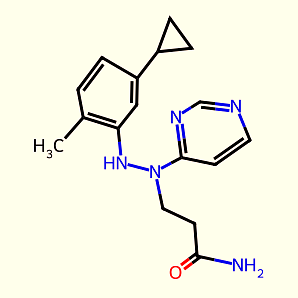 Cc1ccc(C2CC2)cc1NN(CCC(N)=O)c1ccncn1